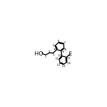 OCCCc1ccccc1-c1ccccc1F